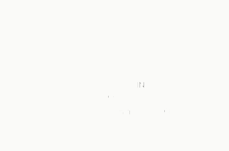 C1COCCN1.CCCOc1ccccc1-c1ccccc1